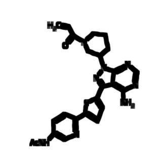 C=CC(=O)N1CCCC(n2nc(-c3ccc(-c4ccc(NC(C)=O)cn4)s3)c3c(N)ncnc32)C1